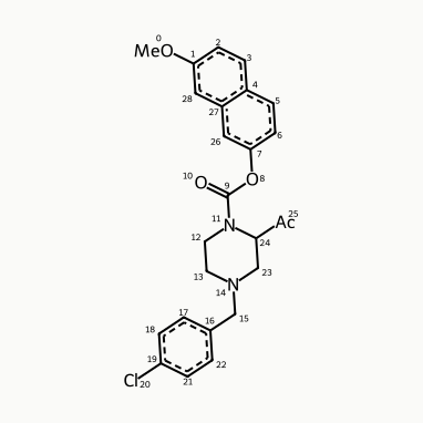 COc1ccc2ccc(OC(=O)N3CCN(Cc4ccc(Cl)cc4)CC3C(C)=O)cc2c1